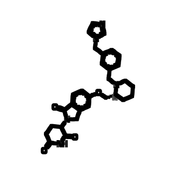 O=C1CCC(N2Cc3cc(OC[C@H]4CCCCN4Cc4cccc(Cn5ccnc5)c4)ccc3C2=O)C(=O)N1